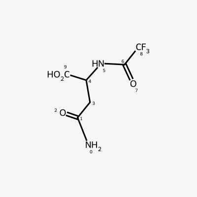 NC(=O)CC(NC(=O)C(F)(F)F)C(=O)O